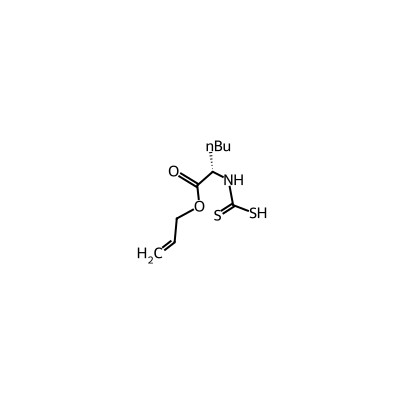 C=CCOC(=O)[C@H](CCCC)NC(=S)S